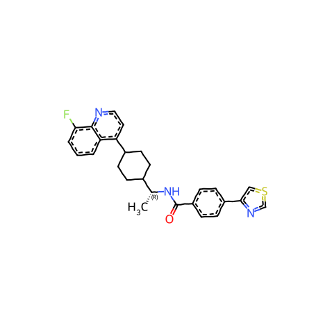 C[C@@H](NC(=O)c1ccc(-c2cscn2)cc1)C1CCC(c2ccnc3c(F)cccc23)CC1